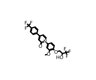 COc1cc(-n2ccc(-c3ccc(C(F)(F)F)cc3)cc2=O)ccc1OCC(O)C(F)(F)F